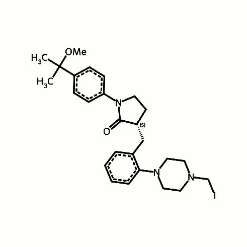 COC(C)(C)c1ccc(N2CC[C@H](Cc3ccccc3N3CCN(CI)CC3)C2=O)cc1